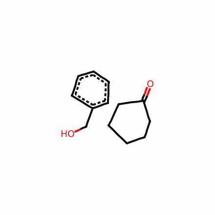 O=C1CCCCC1.OCc1ccccc1